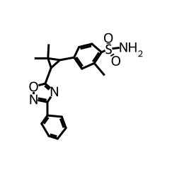 Cc1cc(C2C(c3nc(-c4ccccc4)no3)C2(C)C)ccc1S(N)(=O)=O